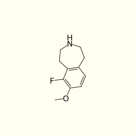 COc1ccc2c(c1F)CCNCC2